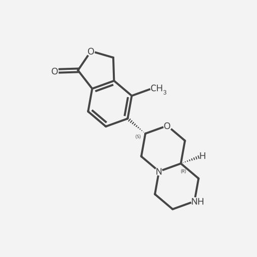 Cc1c([C@H]2CN3CCNC[C@@H]3CO2)ccc2c1COC2=O